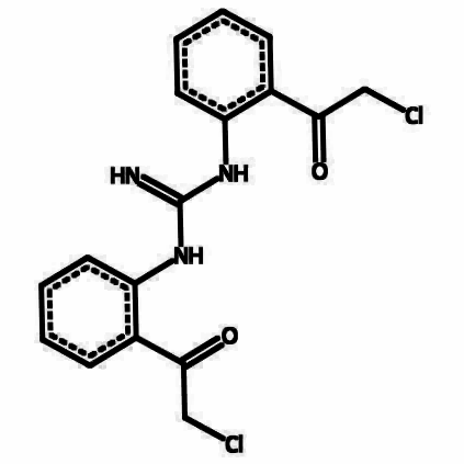 N=C(Nc1ccccc1C(=O)CCl)Nc1ccccc1C(=O)CCl